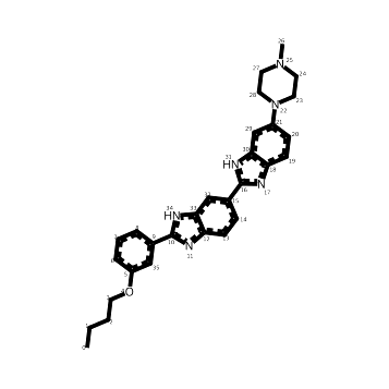 CCCCOc1cccc(-c2nc3ccc(-c4nc5ccc(N6CCN(C)CC6)cc5[nH]4)cc3[nH]2)c1